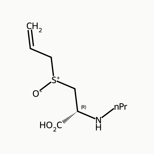 C=CC[S+]([O-])C[C@H](NCCC)C(=O)O